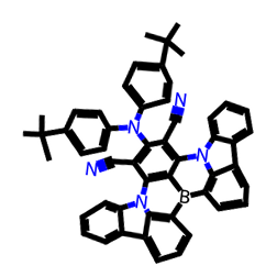 CC(C)(C)c1ccc(N(c2ccc(C(C)(C)C)cc2)c2c(C#N)c3c4c(c2C#N)-n2c5ccccc5c5cccc(c52)B4c2cccc4c5ccccc5n-3c24)cc1